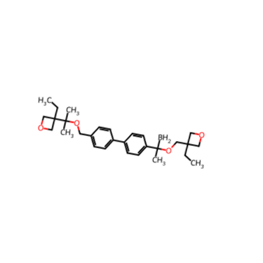 BC(C)(OCC1(CC)COC1)c1ccc(-c2ccc(COC(C)(C)C3(CC)COC3)cc2)cc1